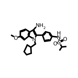 COc1ccc2c(N)c(-c3ccc(NS(=O)(=O)C(C)C)cc3)n(CC3CCCC3)c2c1